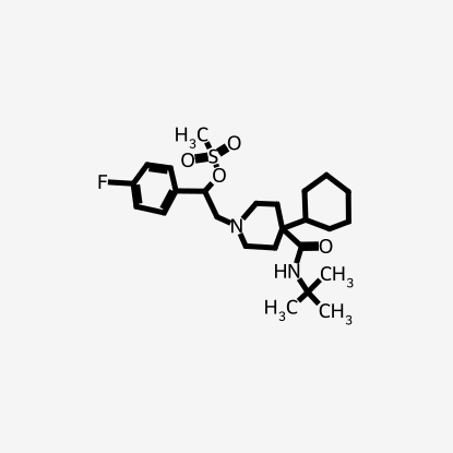 CC(C)(C)NC(=O)C1(C2CCCCC2)CCN(CC(OS(C)(=O)=O)c2ccc(F)cc2)CC1